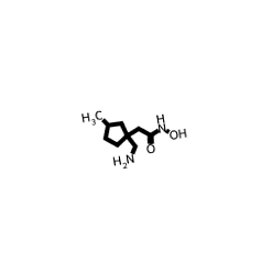 CC1CCC(CN)(CC(=O)NO)C1